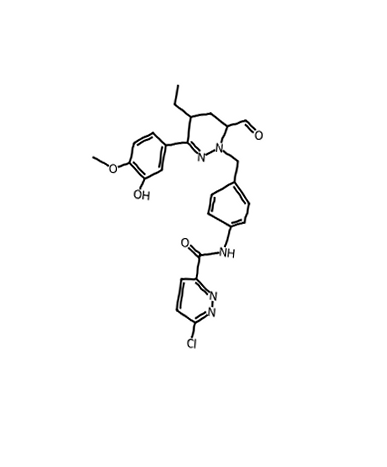 CCC1CC(C=O)N(Cc2ccc(NC(=O)c3ccc(Cl)nn3)cc2)N=C1c1ccc(OC)c(O)c1